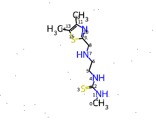 CNC(=S)NCCNCc1nc(C)c(C)s1